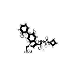 CC(C)(C)Cn1cc([C@H](NS(=O)(=O)C2CCC2)C(F)(F)F)c2cc(F)c(-c3ccccc3C(F)(F)F)cc21